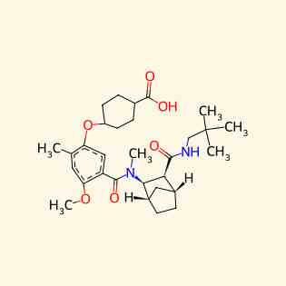 COc1cc(C)c(OC2CCC(C(=O)O)CC2)cc1C(=O)N(C)[C@@H]1[C@H]2CC[C@H](C2)[C@@H]1C(=O)NCC(C)(C)C